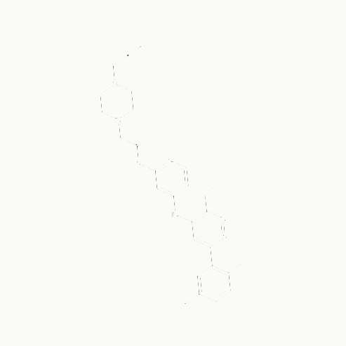 COc1nnc(-c2cc(Cl)ccc2F)cc1Nc1ccnc(NC(=O)CN2CCN(CC(F)(F)F)CC2)c1